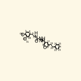 COc1ccc(CCNC(=O)NN=NC2=COCC(CCc3ccccc3)=C2)cc1OC